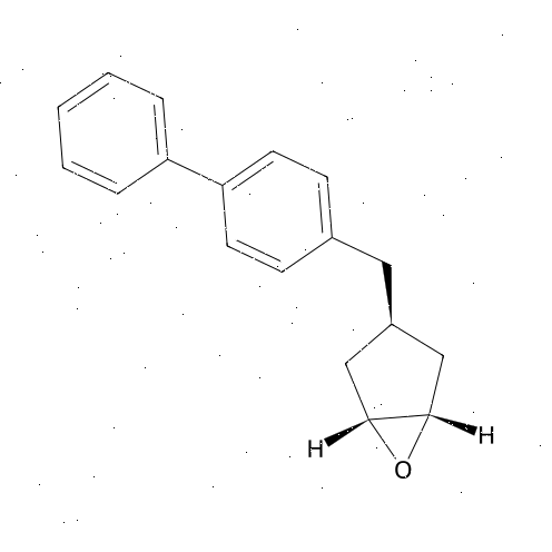 c1ccc(-c2ccc(C[C@H]3C[C@@H]4O[C@@H]4C3)cc2)cc1